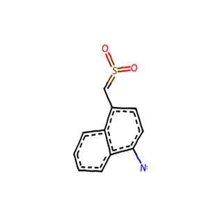 [N]c1ccc(C=S(=O)=O)c2ccccc12